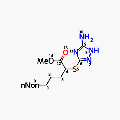 CCCCCCCCCCCCC(Sc1n[nH]c(N)n1)C(=O)OC